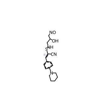 N#C/C(=C\c1ccc(N2CCCCC2)cc1)SNCC(O)CN=O